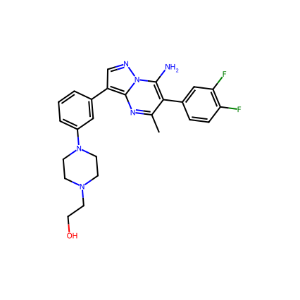 Cc1nc2c(-c3cccc(N4CCN(CCO)CC4)c3)cnn2c(N)c1-c1ccc(F)c(F)c1